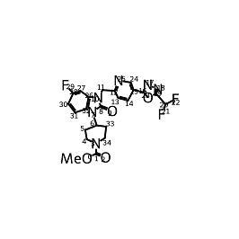 COC(=O)N1CCC(n2c(=O)n(Cc3ccc(-c4nnc(C(F)F)o4)cn3)c3cc(F)ccc32)CC1